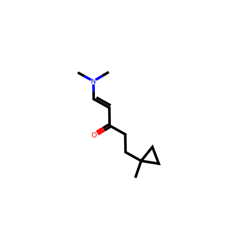 CN(C)/C=C/C(=O)CCC1(C)CC1